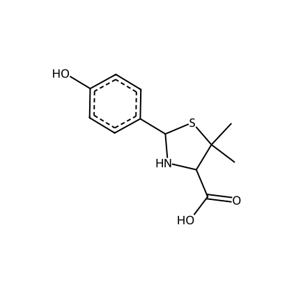 CC1(C)SC(c2ccc(O)cc2)NC1C(=O)O